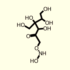 O=C(CONO)C(O)C(O)(CO)C(O)CO